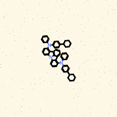 c1ccc(N(c2ccc(C3CCCCC3)cc2)c2cccc3c2c2cccc4c5c(N(c6ccccc6)c6ccc(C7CCCCC7)cc6)cccc5n3c24)cc1